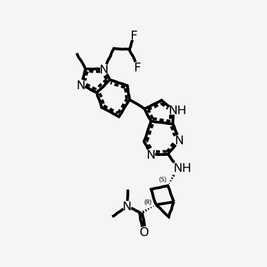 Cc1nc2ccc(-c3c[nH]c4nc(N[C@H]5C[C@]6(C(=O)N(C)C)CC56)ncc34)cc2n1CC(F)F